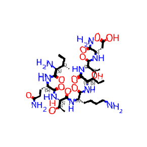 CC[C@H](C)[C@H](N)C(=O)N[C@@H](CCC(N)=O)C(=O)N[C@H](C(=O)N[C@@H](CCCCN)C(=O)N[C@H](C(=O)N[C@H](C(=O)N[C@@H](CC(=O)O)C(N)=O)[C@@H](C)O)[C@@H](C)CC)[C@@H](C)O